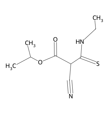 CCNC(=S)C(C#N)C(=O)OC(C)C